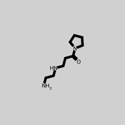 NCCNCCC(=O)N1CCCC1